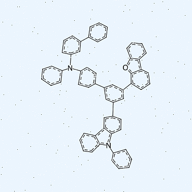 c1ccc(-c2cccc(N(c3ccccc3)c3ccc(-c4cc(-c5ccc6c(c5)c5ccccc5n6-c5ccccc5)cc(-c5cccc6c5oc5ccccc56)c4)cc3)c2)cc1